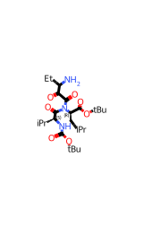 CCC(N)C(=O)C(=O)N(C(=O)[C@@H](NC(=O)OC(C)(C)C)C(C)C)[C@H](CC(C)C)C(=O)OC(C)(C)C